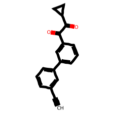 C#Cc1cccc(-c2cccc(C(=O)C(=O)C3CC3)c2)c1